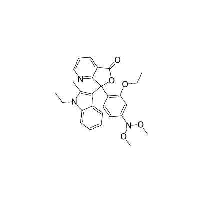 CCOc1cc(N(OC)OC)ccc1C1(c2c(C)n(CC)c3ccccc23)OC(=O)c2cccnc21